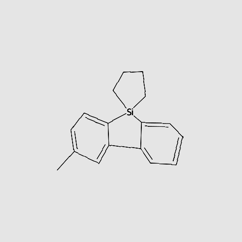 Cc1ccc2c(c1)-c1ccccc1[Si]21CCCC1